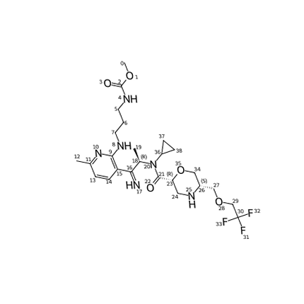 COC(=O)NCCCNc1nc(C)ccc1C(=N)[C@@H](C)N(C(=O)[C@H]1CN[C@@H](COCC(F)(F)F)CO1)C1CC1